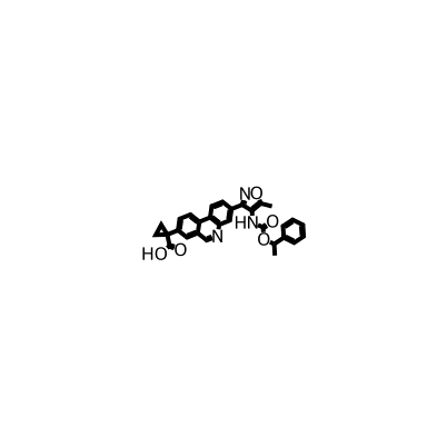 Cc1onc(-c2ccc3c(c2)ncc2cc(C4(C(=O)O)CC4)ccc23)c1NC(=O)OC(C)c1ccccc1